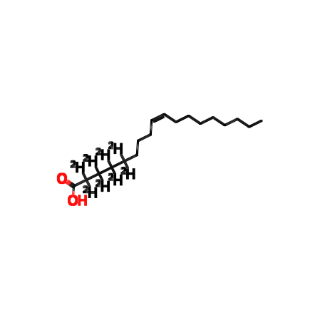 [2H]C([2H])(CCC/C=C\CCCCCCCC)C([2H])([2H])C([2H])([2H])C([2H])([2H])C(=O)O